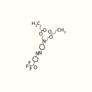 CCCC(=O)OCCN(CCOC(=O)CCC)c1ccc(N=Nc2ccc(C(=O)C(F)(F)F)cc2)cc1